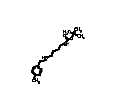 Cc1ccc(CCNCCCCNC(=O)OC(C)(C)C)nc1